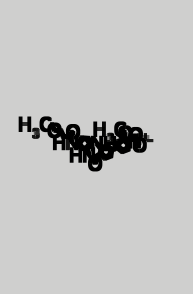 CCOCCC(=O)Nc1ccc2c(c1)NC(=O)c1ccc(-c3ccc([N+](=O)[O-])c(OC)c3)cc1N2